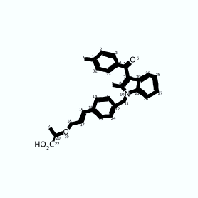 Cc1ccc(C(=O)c2c(C)n(Cc3ccc(/C=C/CO[C@H](C)C(=O)O)cc3)c3ccccc23)cc1